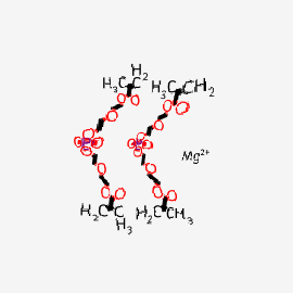 C=C(C)C(=O)OCCOCCOP(=O)([O-])OCCOCCOC(=O)C(=C)C.C=C(C)C(=O)OCCOCCOP(=O)([O-])OCCOCCOC(=O)C(=C)C.[Mg+2]